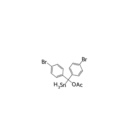 CC(=O)O[C]([SnH3])(c1ccc(Br)cc1)c1ccc(Br)cc1